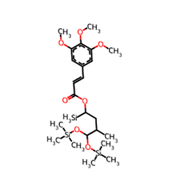 COc1cc(C=CC(=O)OC([SiH3])CC(C)C(O[Si](C)(C)C)O[Si](C)(C)C)cc(OC)c1OC